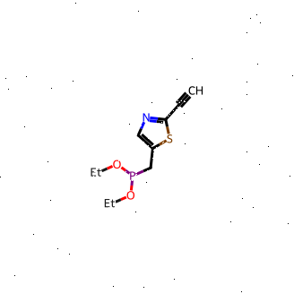 C#Cc1ncc(CP(OCC)OCC)s1